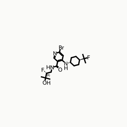 CC(C)(O)[C@H](F)CNC(=O)c1cnc(Br)cc1N[C@H]1CC[C@H](C(C)(C)F)CC1